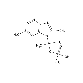 Cc1cnc2nc(C)n(C(C)(C)OP(C)(=O)O)c2c1